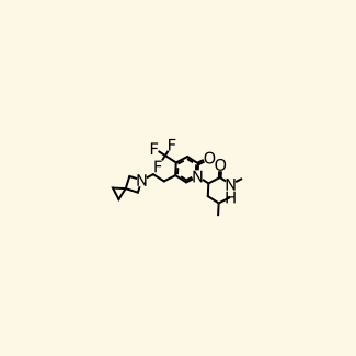 CNC(=O)C(CC(C)C)n1cc(CCN2CC3(CC3)C2)c(C(F)(F)F)cc1=O